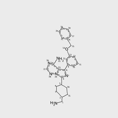 NCC1CCC(c2nc(-c3cccc(OCc4ccccc4)c3)c3c(N)ncnn23)CC1